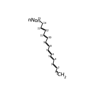 C=CC=CC=CC=CC=CC=CC=CCCCCCCCCCC